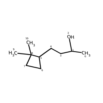 CC(O)CCC1CCC1(C)C